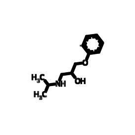 CC(C)NCC(O)COc1[c]cccc1